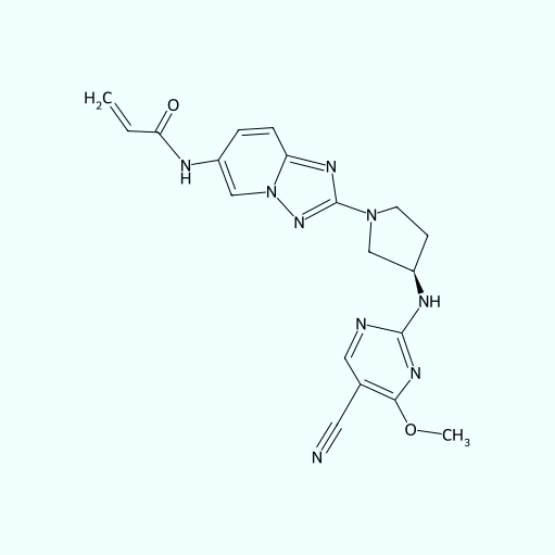 C=CC(=O)Nc1ccc2nc(N3CC[C@@H](Nc4ncc(C#N)c(OC)n4)C3)nn2c1